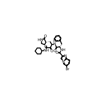 O=C(NC1CCCCC1)C(=O)C(C[C@@H]1CCNC1=O)NC(=O)[C@H](Cc1ccccc1)NC(=O)c1cn2cc(Br)ccc2n1